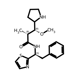 CO[C@@H](C1CCCN1)[C@@H](C)C(=O)N[C@@H](Cc1ccccc1)c1nccs1